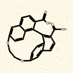 O=C(O)c1ccc2cc3ccc2c1-c1c(C(=O)O)ccc2cc(ccc12)OCCO3